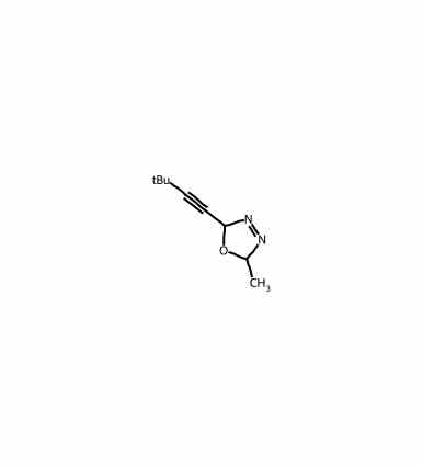 CC1N=NC(C#CC(C)(C)C)O1